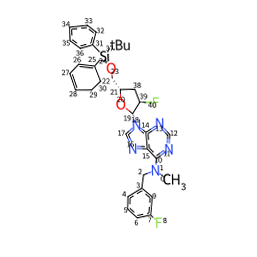 CN(Cc1cccc(F)c1)c1ncnc2c1ncn2[C@@H]1O[C@H](CO[Si](C2=CC=CCC2)(c2ccccc2)C(C)(C)C)C[C@H]1F